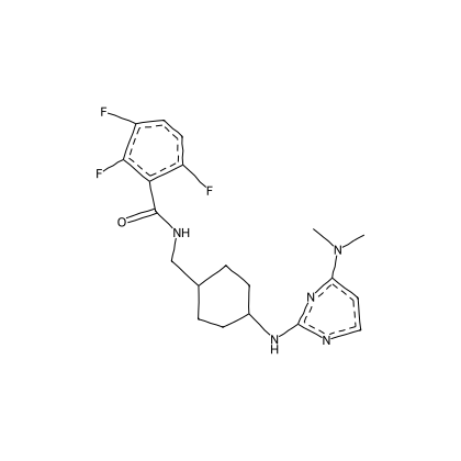 CN(C)c1ccnc(NC2CCC(CNC(=O)c3c(F)ccc(F)c3F)CC2)n1